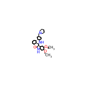 CCOc1cc2c(cc1OCC)C(=C(Nc1ccc(CN3CC=CCC3)cc1)c1ccccc1)C(=O)N2